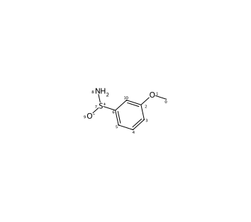 COc1cccc([S+](N)[O-])c1